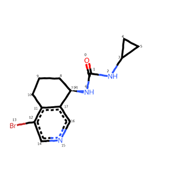 O=C(NC1CC1)N[C@@H]1CCCc2c(Br)cncc21